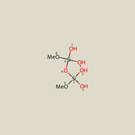 CO[Si](O)(O)O[Si](O)(O)OC